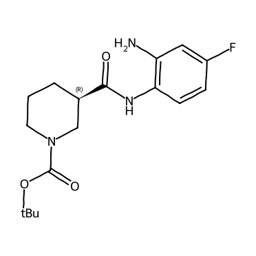 CC(C)(C)OC(=O)N1CCC[C@@H](C(=O)Nc2ccc(F)cc2N)C1